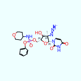 C[C@@]1(N=[N+]=[N-])[C@H](O)[C@@H](COP(=O)(NC2CCOCC2)Oc2ccccc2)O[C@H]1n1ccc(=O)[nH]c1=O